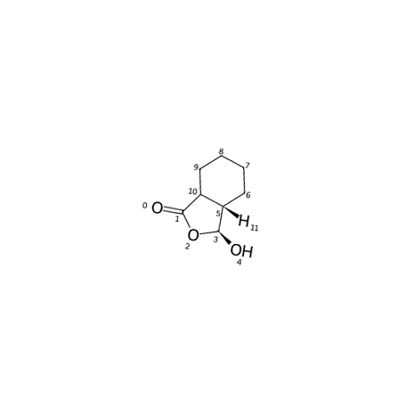 O=C1O[C@H](O)[C@H]2CCCCC12